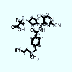 CC(C)CCN(C)Cc1ccc(C(=O)NN(c2nc(C#N)ncc2Cl)C2CCCC2)cc1.O=C(O)C(F)(F)F